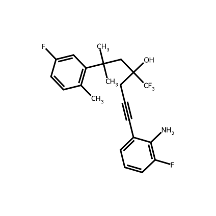 Cc1ccc(F)cc1C(C)(C)CC(O)(CC#Cc1cccc(F)c1N)C(F)(F)F